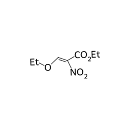 CCO/C=C(/C(=O)OCC)[N+](=O)[O-]